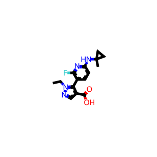 CCn1ncc(C(=O)O)c1-c1ccc(NC2(C)CC2)nc1F